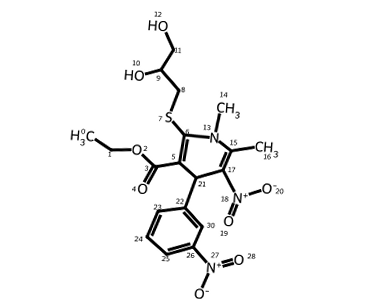 CCOC(=O)C1=C(SCC(O)CO)N(C)C(C)=C([N+](=O)[O-])C1c1cccc([N+](=O)[O-])c1